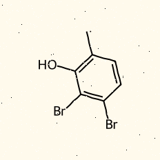 [CH2]c1ccc(Br)c(Br)c1O